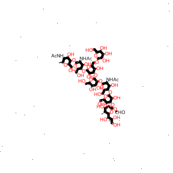 CC(=O)NC1[C@H](O[C@@H]2C(CO)O[C@@H](C)C(NC(C)=O)[C@H]2O)OC(CO)[C@@H](O[C@@H]2OC(CO[C@H]3OC(CO)[C@@H](O)[C@H](O)C3O)[C@@H](O)[C@H](O[C@H]3OC(CO)[C@@H](O)C(O)C3O[C@@H]3OC(CO)[C@@H](O[C@@H]4OC(CO)[C@H](O)[C@H](O[C@]5(OC=O)C[C@@H](O)[C@@H](C)C([C@H](O)[C@H](O)CO)O5)C4O)[C@H](O)C3NC(C)=O)C2O)[C@@H]1O